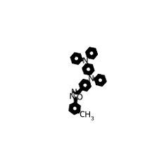 Cc1cccc(-c2nnc(-c3ccc(N(c4ccccc4)c4ccc(N(c5ccccc5)c5ccccc5)cc4)cc3)o2)c1